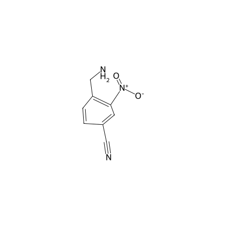 N#Cc1ccc(CN)c([N+](=O)[O-])c1